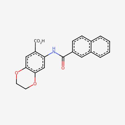 O=C(Nc1cc2c(cc1C(=O)O)OCCO2)c1ccc2ccccc2c1